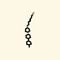 CC1CCC(C2CCC([C@H]3CC[C@H](CCC/C=C/CCF)CC3)CC2)CC1